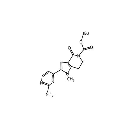 Cn1c(-c2ccnc(N)n2)cc2c1CCN(C(=O)OC(C)(C)C)C2=O